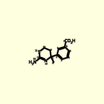 CC1(c2cccc(C(=O)O)c2)CCSC(N)=N1